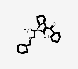 Cc1c(C(=O)c2ccccc2)c2ccccc2n1C(C)CSCc1ccccc1